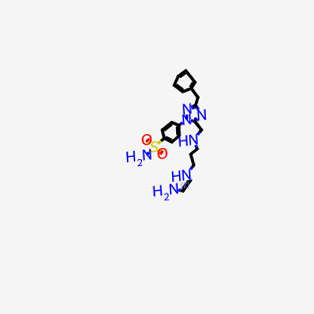 N/C=C\NCCCNCc1nc(Cc2ccccc2)nn1-c1ccc(S(N)(=O)=O)cc1